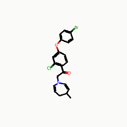 CC1C=CN(CC(=O)c2ccc(Oc3ccc(Br)cc3)cc2Cl)C=CC1